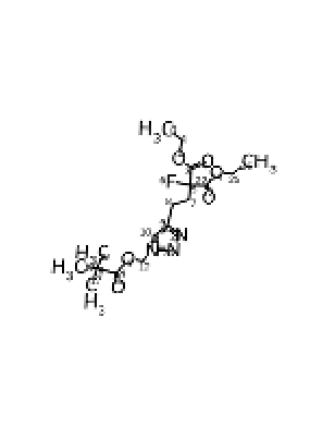 CCOC(=O)C(F)(CCc1cn(COC(=O)C(C)(C)C)nn1)C(=O)OCC